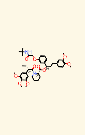 CC[C@H](C(=O)N1CCCC[C@H]1C(=O)O[C@H](CCc1ccc(OC)c(OC)c1)c1cccc(OCC(=O)NC(C)(C)C)c1)c1cc(OC)c(OC)c(OC)c1